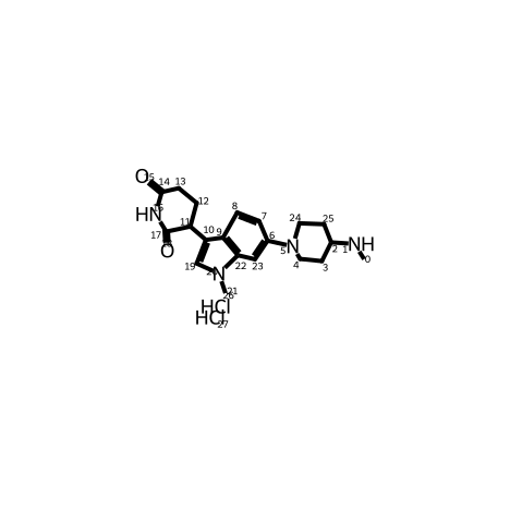 CNC1CCN(c2ccc3c(C4CCC(=O)NC4=O)cn(C)c3c2)CC1.Cl.Cl